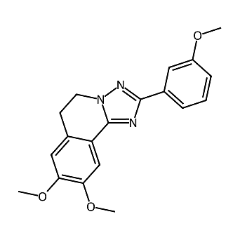 COc1cccc(-c2nc3n(n2)CCc2cc(OC)c(OC)cc2-3)c1